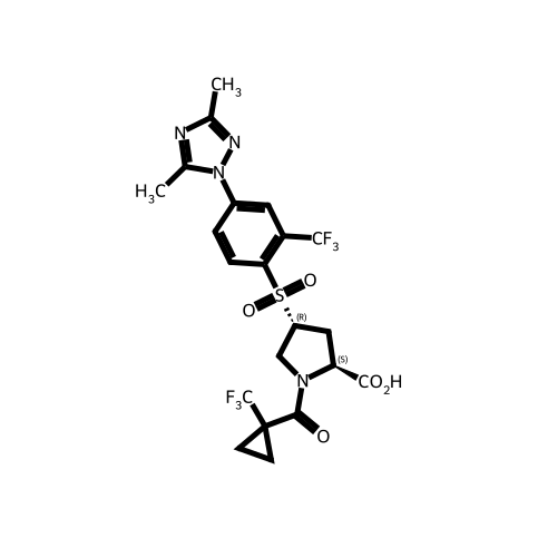 Cc1nc(C)n(-c2ccc(S(=O)(=O)[C@@H]3C[C@@H](C(=O)O)N(C(=O)C4(C(F)(F)F)CC4)C3)c(C(F)(F)F)c2)n1